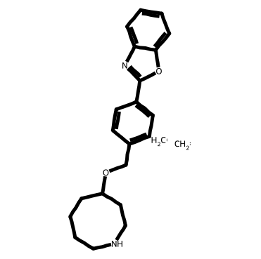 [CH2].[CH2].c1ccc2oc(-c3ccc(COC4CCCCNCC4)cc3)nc2c1